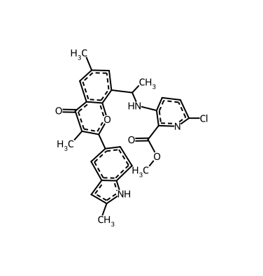 COC(=O)c1nc(Cl)ccc1NC(C)c1cc(C)cc2c(=O)c(C)c(-c3ccc4[nH]c(C)cc4c3)oc12